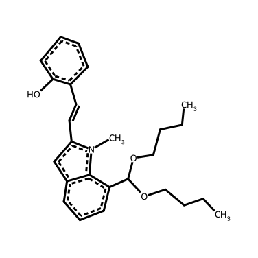 CCCCOC(OCCCC)c1cccc2cc(C=Cc3ccccc3O)n(C)c12